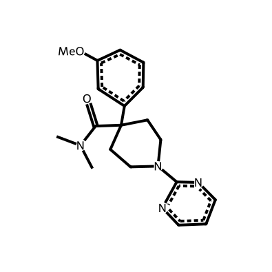 COc1cccc(C2(C(=O)N(C)C)CCN(c3ncccn3)CC2)c1